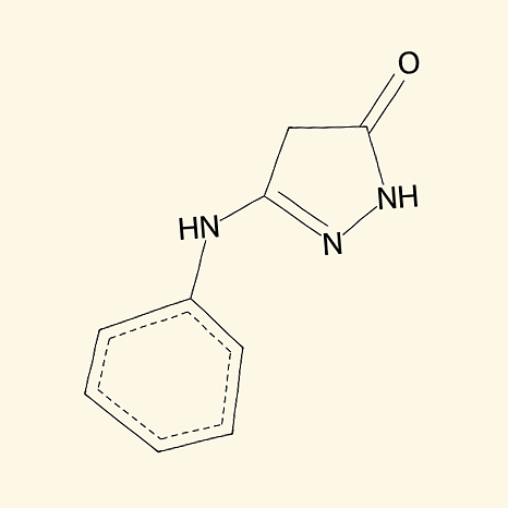 O=C1CC(Nc2ccccc2)=NN1